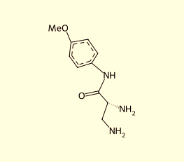 COc1ccc(NC(=O)[C@H](N)CN)cc1